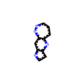 c1cnnc2cc3nccc3nc2c1